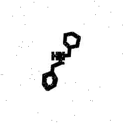 [CH](Cc1ccccc1)NCC1CCCCC1